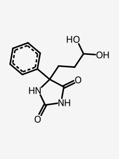 O=C1NC(=O)C(CCC(O)O)(c2ccccc2)N1